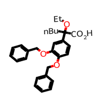 CCCCC(OCC)(C(=O)O)c1ccc(OCc2ccccc2)c(OCc2ccccc2)c1